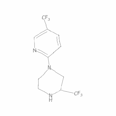 FC(F)(F)c1ccc(N2CCNC(C(F)(F)F)C2)nc1